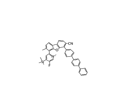 Cc1ccc2c(oc3c(-c4ccc(-c5ccc(-c6ccccc6)cc5)cc4)c(C#N)ccc32)c1-c1cc([Si](C)(C)C)c(F)c[n+]1C